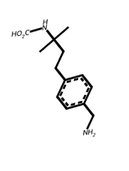 CC(C)(CCc1ccc(CN)cc1)NC(=O)O